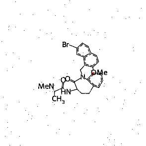 CN[C@@H](C)C(=O)NC1CCc2ccccc2N(Cc2c(OC)ccc3ccc(Br)cc23)C1=O